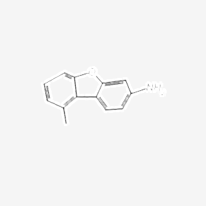 Cc1cccc2oc3cc(N)ccc3c12